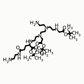 CC(C)(C)OC(=O)CNCCN(CCN)CCN(CCNC(CCC(=O)NCCN)C(=O)OC(C)(C)C)CC(=O)OC(C)(C)C